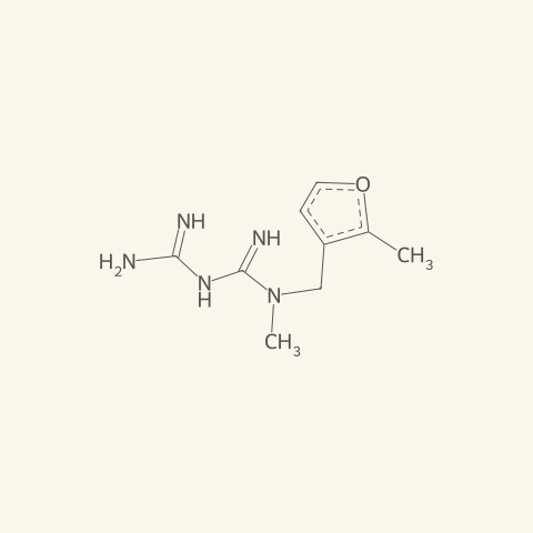 Cc1occc1CN(C)C(=N)NC(=N)N